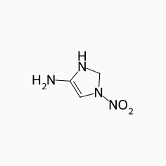 NC1=CN([N+](=O)[O-])CN1